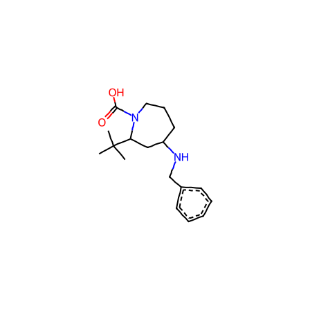 CC(C)(C)C1CC(NCc2ccccc2)CCCN1C(=O)O